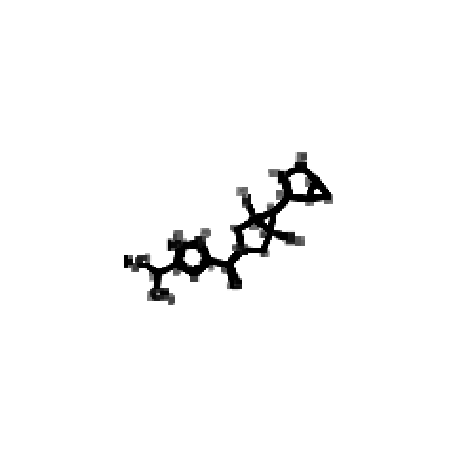 CC(C)c1cc(C(=O)N2C[C@@H]3C(C4=NOC5CC45)[C@@H]3C2)n[nH]1